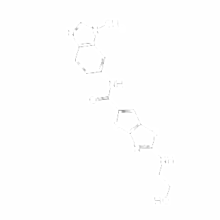 Cn1cnc2ccc(NC(=O)c3cc4sc(NCCO)nc4s3)cc21